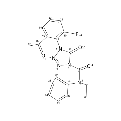 CCN(C(=O)n1nnn(-c2c(F)cccc2C(C)=O)c1=O)c1ccccc1